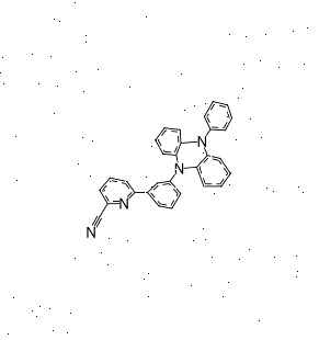 N#Cc1cccc(-c2cccc(N3c4ccccc4N(c4ccccc4)c4ccccc43)c2)n1